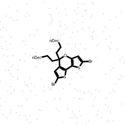 CCCCCCCCCCCCC1(CCCCCCCCCCCC)Oc2cc(Br)sc2-c2sc(Br)cc21